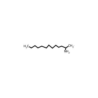 [CH2]C(N)CCCCCCCCCCC